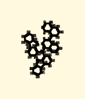 c1ccc2c(-c3ccc(N(c4cccc5c4sc4ccccc45)c4cccc5c4sc4ccccc45)c4ccccc34)cccc2c1